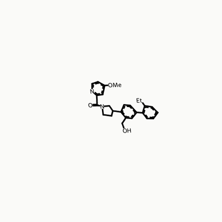 CCc1ccccc1-c1ccc(C2CCN(C(=O)c3cc(OC)ccn3)C2)c(CO)c1